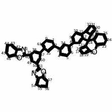 c1cc(-c2cccc(-c3ccc4c(c3)C3(c5ccccc5Oc5ccccc53)c3ccccc3-4)c2)cc(-c2cc(-c3nc4ccccc4o3)cc(-c3nc4ccccc4o3)c2)c1